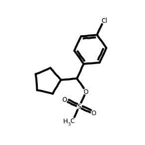 CS(=O)(=O)OC(c1ccc(Cl)cc1)C1CCCC1